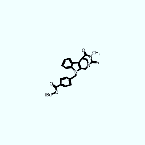 CN1C(=O)C2CN(Cc3c2c2ccccc2n3Cc2ccc(C(=O)OC(C)(C)C)cc2)C1=S